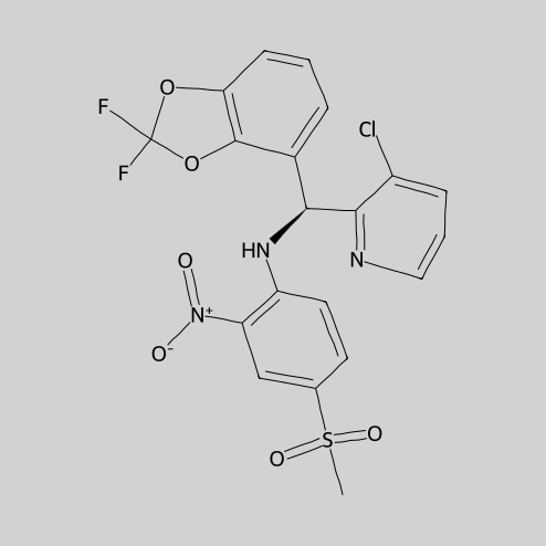 CS(=O)(=O)c1ccc(N[C@@H](c2cccc3c2OC(F)(F)O3)c2ncccc2Cl)c([N+](=O)[O-])c1